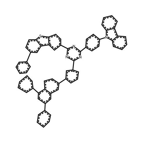 c1ccc(-c2cc(-c3ccccc3)c3ccc(-c4cccc(-c5nc(-c6ccc(-n7c8ccccc8c8ccccc87)cc6)nc(-c6ccc7sc8ccc(-c9ccccc9)cc8c7c6)n5)c4)cc3c2)cc1